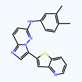 Cc1ccc(Nc2ccc3ncc(-c4cc5ncccc5s4)n3n2)cc1C